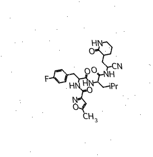 Cc1cc(C(=O)NC(Cc2ccc(F)cc2)C(=O)NC(CC(C)C)C(=O)NC(C#N)CC2CCCNC2=O)no1